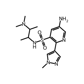 CC(NS(=O)(=O)c1cc(N)cnc1-c1cnn(C)c1)C(C)N(C)C